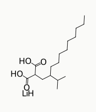 CCCCCCCCCC(CC(C(=O)O)C(=O)O)C(C)C.[LiH]